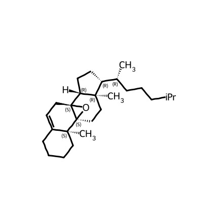 CC(C)CCC[C@@H](C)[C@H]1CC[C@@H]2[C@]1(C)CC[C@@]13O[C@@]21CC=C1CCCC[C@@]13C